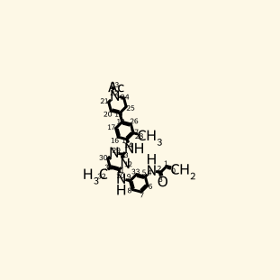 C=CC(=O)Nc1cccc(Nc2nc(Nc3ccc(C4=CCN(C(C)=O)CC4)cc3C)ncc2C)c1